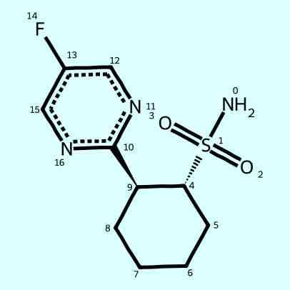 NS(=O)(=O)[C@@H]1CCCC[C@H]1c1ncc(F)cn1